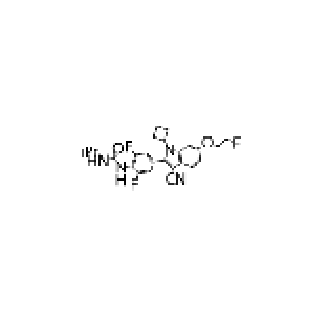 CC(C)NC(=O)Nc1c(F)cc(-c2c(C#N)c3ccc(OCCF)cc3n2C2CCC2)cc1F